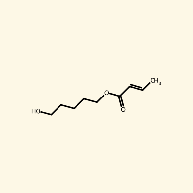 CC=CC(=O)OCCCCCO